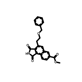 COC(=O)c1ccc2c3c(c(CCOCc4ccccc4)cc2c1)C(=O)NC3=O